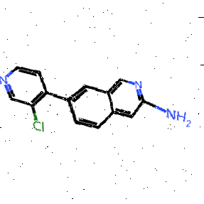 Nc1cc2ccc(-c3ccncc3Cl)cc2cn1